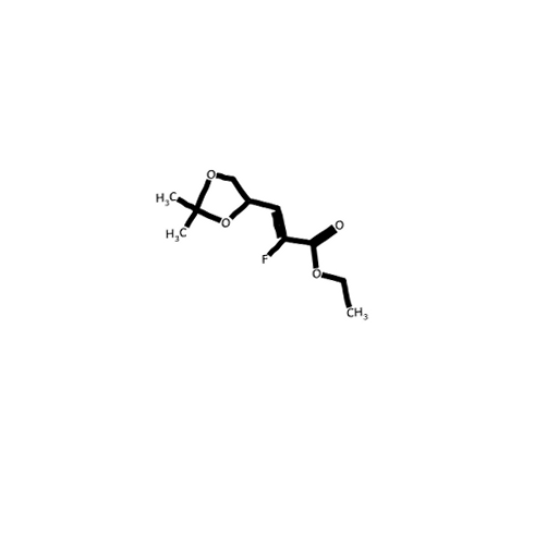 CCOC(=O)C(F)=CC1COC(C)(C)O1